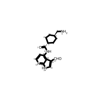 NC[C@H]1CC[C@H](C(=O)Nc2ccnc3[nH]cc(C=O)c23)CC1